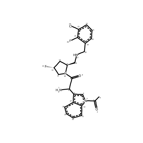 CC(=O)n1cc(C(N)C(=O)N2C[C@H](F)C[C@H]2CNCc2cccc(Cl)c2F)c2ccccc21